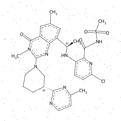 Cc1cc([C@@H](C)Nc2ccc(Cl)nc2C(=O)NS(C)(=O)=O)c2nc(N3CCC[C@@H](c4nccc(C)n4)C3)n(C)c(=O)c2c1